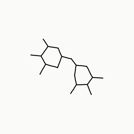 CC1CC(CC2CC(C)C(C)C(C)C2)CC(C)C1C